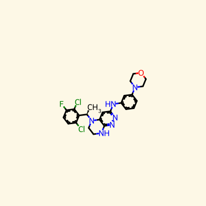 C[C@H](c1c(Cl)ccc(F)c1Cl)N1CCNc2nnc(Nc3cccc(N4CCOCC4)c3)cc21